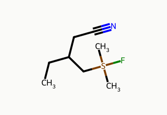 CCC(CC#N)CS(C)(C)F